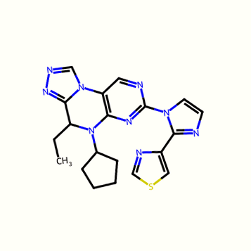 CCC1c2nncn2-c2cnc(-n3ccnc3-c3cscn3)nc2N1C1CCCC1